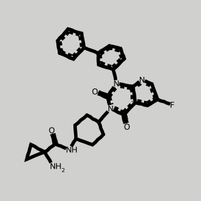 NC1(C(=O)NC2CCC(n3c(=O)c4cc(F)cnc4n(-c4cccc(-c5ccccc5)c4)c3=O)CC2)CC1